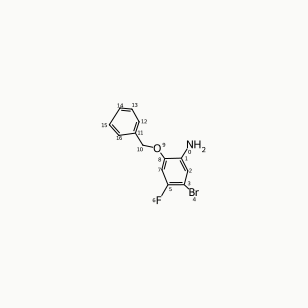 Nc1cc(Br)c(F)cc1OCc1ccccc1